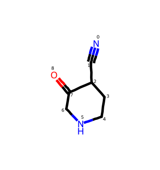 N#CC1CCNCC1=O